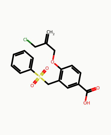 C=C(CCl)COc1ccc(C(=O)O)cc1CS(=O)(=O)c1ccccc1